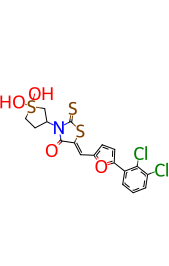 O=C1C(=Cc2ccc(-c3cccc(Cl)c3Cl)o2)SC(=S)N1C1CCS(O)(O)C1